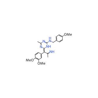 COc1ccc(CNC2=NC(C)=N/C(=C(/C(C)=N)c3ccc(OC)c(OC)c3)N2)cc1